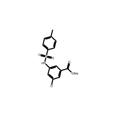 COC(=O)c1cc(Cl)cc(NS(=O)(=O)c2ccc(C)cc2)c1